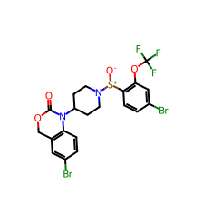 O=C1OCc2cc(Br)ccc2N1C1CCN([S+]([O-])c2ccc(Br)cc2OC(F)(F)F)CC1